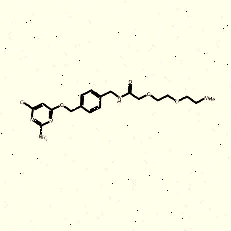 CNCCOCCOCC(=O)NCc1ccc(COc2cc(Cl)nc(N)n2)cc1